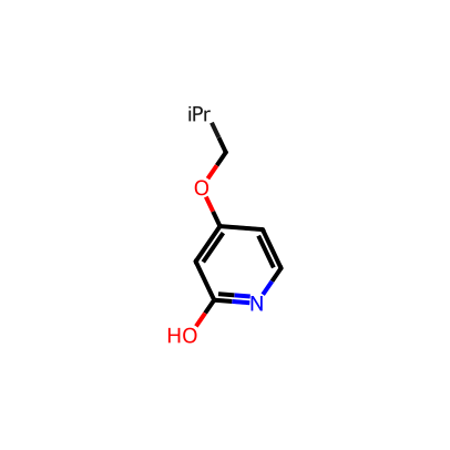 CC(C)COc1ccnc(O)c1